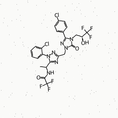 CC(NC(=O)C(F)(F)F)c1nc(Cn2nc(-c3ccc(Cl)cc3)n(C[C@H](O)C(F)(F)F)c2=O)nn1-c1ccccc1Cl